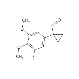 COc1cc(C2(C=O)CC2)cc(I)c1OC